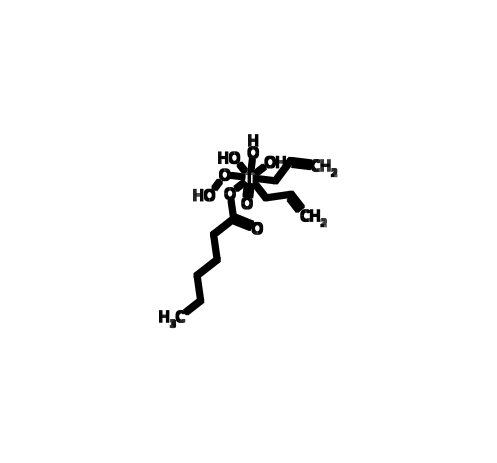 C=C[CH2][Ti](=[O])([OH])([OH])([OH])([CH2]C=C)([O]O)[O]C(=O)CCCCC